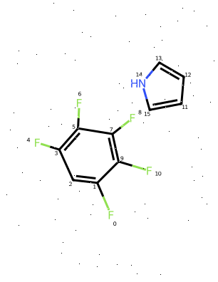 Fc1cc(F)c(F)c(F)c1F.c1cc[nH]c1